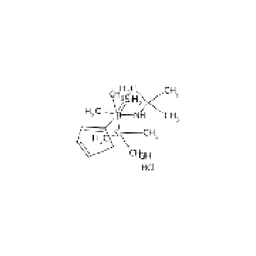 CC(C)(C)[NH][Ti]([CH3])([CH3])(=[SiH2])([C]1=CC=CC1)[Si](C)(C)C.Cl.Cl